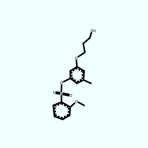 COc1ccccc1S(=O)(=O)Oc1cc(C)cc(OCCCO)c1